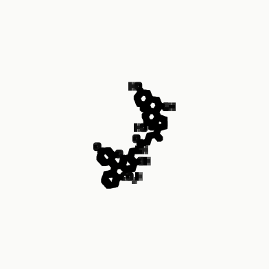 CC(CCC(=O)NCc1c(O)ccc2c(-c3ccccc3C(=O)O)c3ccc(=O)cc-3oc12)C1CCC2C3C(O)CC4CC(O)CCC4(C)C3CC(O)C12C